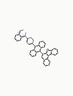 C/C=c1/cccc/c1=C(/C)C1=CC=C(c2c3ccccc3c(-c3cc4ccccc4c4c3oc3ccccc34)c3ccccc23)CC1